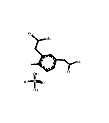 CCCCC(CC)Cc1ccc(C)c(CC(CC)CCCC)c1.O=P(O)(O)O